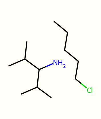 CC(C)C(N)C(C)C.CCCCCCl